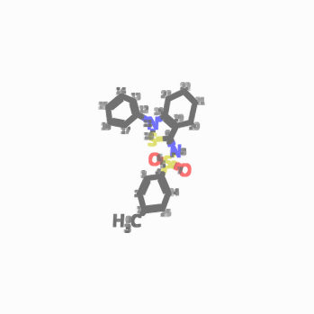 Cc1ccc(S(=O)(=O)N=c2sn(-c3ccccc3)c3c2CCCC3)cc1